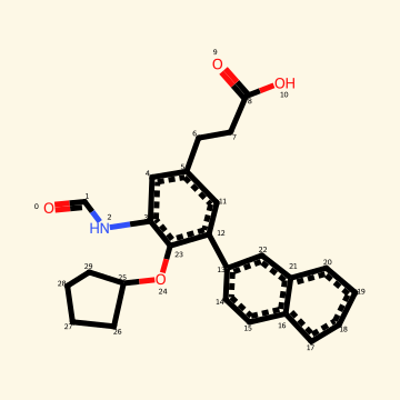 O=CNc1cc(CCC(=O)O)cc(-c2ccc3ccccc3c2)c1OC1CCCC1